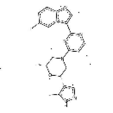 Cc1[nH]ncc1[C@H]1CN(c2ccnc(-c3cnc4ccc(Cl)cn34)n2)C[C@@H](C)O1